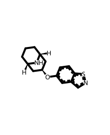 c1cc2sncc2cc1O[C@@H]1C[C@H]2CCC[C@@H](C1)N2